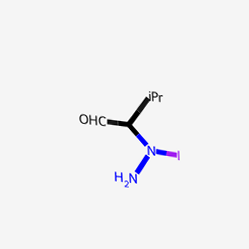 CC(C)C(C=O)N(N)I